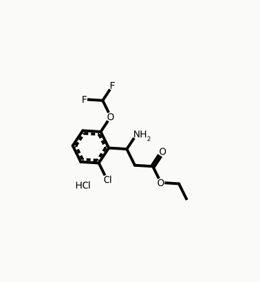 CCOC(=O)CC(N)c1c(Cl)cccc1OC(F)F.Cl